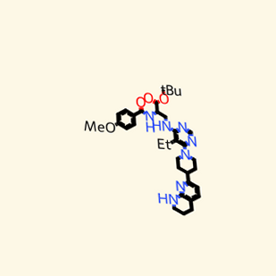 CCc1c(NCC(NC(=O)c2ccc(OC)cc2)C(=O)OC(C)(C)C)ncnc1N1CCC(c2ccc3c(n2)NCCC3)CC1